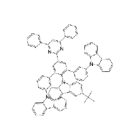 CC(C)(C)c1ccc2c(c1)c1ccccc1n2-c1c(-c2cccc(-n3c4ccccc4c4ccccc43)c2)cc(-c2nc(-c3ccccc3)cc(-c3ccccc3)n2)cc1-c1cccc(-n2c3ccccc3c3ccccc32)c1